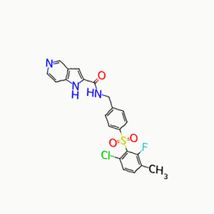 Cc1ccc(Cl)c(S(=O)(=O)c2ccc(CNC(=O)c3cc4cnccc4[nH]3)cc2)c1F